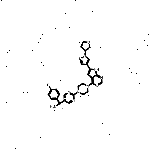 C[C@](N)(c1ccc(F)cc1)c1cnc(N2CCN(c3ncnc4[nH]c(-c5cnn(C6CCOC6)c5)cc34)CC2)nc1